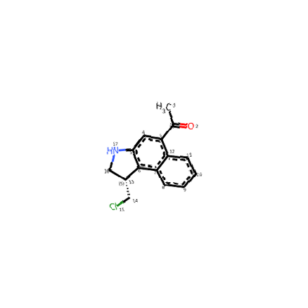 CC(=O)c1cc2c(c3ccccc13)[C@H](CCl)CN2